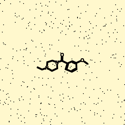 CCN1CCN(C(=O)c2cccc(OC)c2)CC1